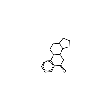 O=C1CC2C(CCC3CCCC32)c2ccccc21